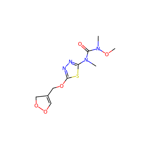 CON(C)C(=O)N(C)c1nnc(OCC2=COOC2)s1